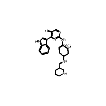 Cl.Clc1cnc(NC2CCC(NCC3CCCNC3)CC2)nc1-c1c[nH]c2ccccc12